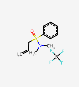 C=CC[S+](=O)(c1ccccc1)N(C)C.F[B-](F)(F)F